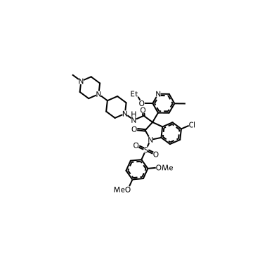 CCOc1ncc(C)cc1C1(C(=O)NN2CCC(N3CCN(C)CC3)CC2)C(=O)N(S(=O)(=O)c2ccc(OC)cc2OC)c2ccc(Cl)cc21